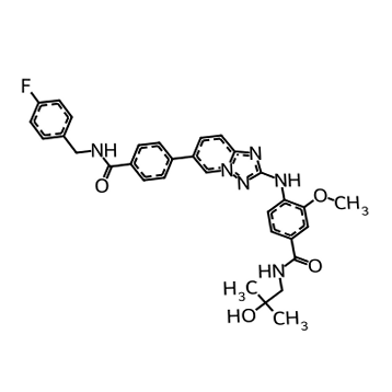 COc1cc(C(=O)NCC(C)(C)O)ccc1Nc1nc2ccc(-c3ccc(C(=O)NCc4ccc(F)cc4)cc3)cn2n1